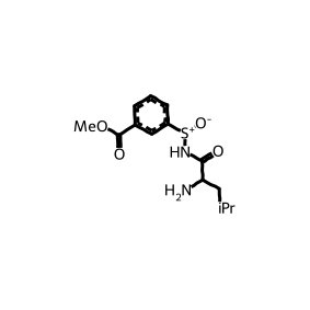 COC(=O)c1cccc([S+]([O-])NC(=O)C(N)CC(C)C)c1